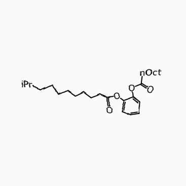 CCCCCCCCC(=O)Oc1ccccc1OC(=O)CCCCCCCCC(C)C